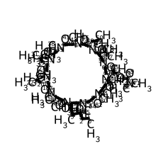 CCCC[C@@H](C)[C@H]1ON2C(=O)[C@H](C(C)C)N(C)C(=O)[C@H](CC(C)C)N(C)C(=O)[C@H](CC(C)C)N(C)C(=O)[C@@H](C)NC(=O)[C@H](C)NC(=O)[C@H](CCC)N(C)C(=O)[C@H](C(C)C)NC(=O)[C@H](C(C)(C)COC(=O)N(C)C)N(C)C(=O)[C@@H](C)N(C)C(=O)[C@H](CC)NC(=O)[C@H]12